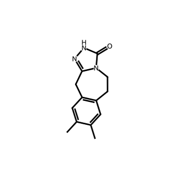 Cc1cc2c(cc1C)Cc1n[nH]c(=O)n1CC2